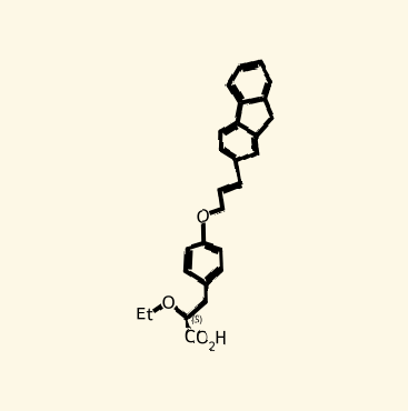 CCO[C@@H](Cc1ccc(OCC=Cc2ccc3c(c2)Cc2ccccc2-3)cc1)C(=O)O